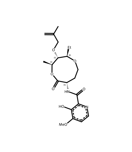 C=C(C)CO[C@H]1[C@H](C)OC(=O)[C@@H](NC(=O)c2nccc(OC)c2O)CCO[C@@H]1CC